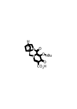 CCCCOc1c2n(cc(C(=O)O)c1=O)C[C@]13CC[C@H](CN1C2=O)C3